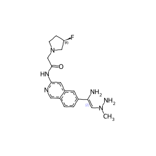 CN(N)/C=C(\N)c1ccc2cnc(NC(=O)CN3CC[C@@H](F)C3)cc2c1